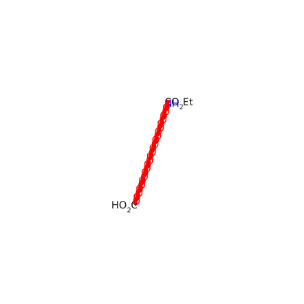 CCOC(=O)NCCOCCOCCOCCOCCOCCOCCOCCOCCOCCOCCOCCOCCOCCOCCOCCOCCOCCOCCOCCOCCOCCOCCOCCOCCC(=O)O